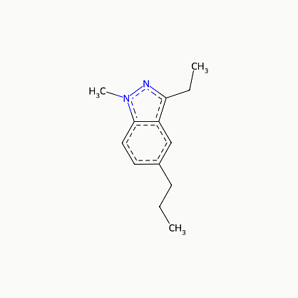 CCCc1ccc2c(c1)c(CC)nn2C